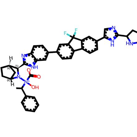 CC(c1ccccc1)[N+](O)(C(=O)[O-])N1[C@@H]2CC[C@H](C2)[C@H]1c1nc2ccc(-c3ccc4c(c3)C(F)(F)c3cc(-c5cnc(C6CCCN6)[nH]5)ccc3-4)cc2[nH]1